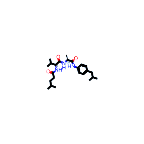 CC(C)CCC(=O)N[C@H](C(=O)N[C@@H](C)C(=O)Nc1ccc(CC(C)C)cc1)C(C)C